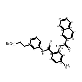 CCOC(=O)CCc1cccc(NC(=O)c2ccc(C)cc2NC(=O)c2ccc3ccccc3c2)c1